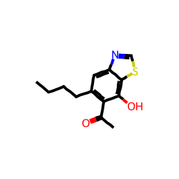 CCCCc1cc2ncsc2c(O)c1C(C)=O